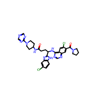 O=C(CCC(Nc1ncnc2cc(C(=O)N3CCCC3)c(Cl)cc12)c1nc2cc(Cl)ccc2[nH]1)NC1CCN(c2ncncn2)CC1